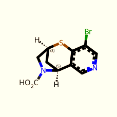 O=C(O)N1C[C@@H]2C[C@H]1c1cncc(Br)c1S2